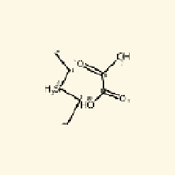 CC[SiH2]CC.O=C(O)C(=O)O